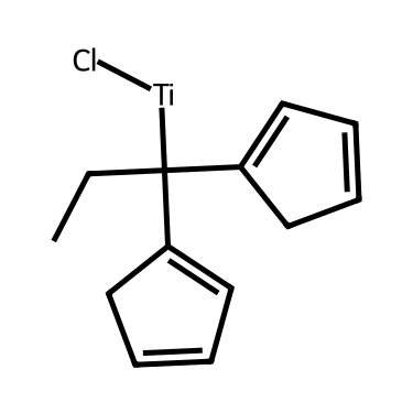 CC[C]([Ti][Cl])(C1=CC=CC1)C1=CC=CC1